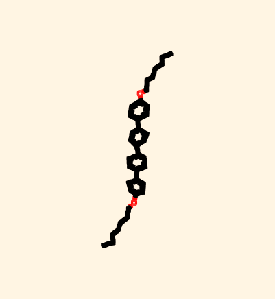 CCCCCCCOc1ccc(-c2ccc(-c3ccc(-c4ccc(OCCCCCCC)cc4)cc3)cc2)cc1